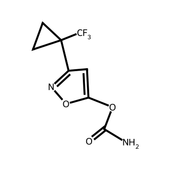 NC(=O)Oc1cc(C2(C(F)(F)F)CC2)no1